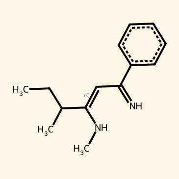 CCC(C)/C(=C/C(=N)c1ccccc1)NC